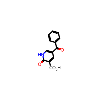 O=C(c1ccccc1)c1c[nH]c(=O)c(C(=O)O)c1